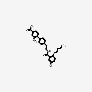 CCCCOc1ccc(Cl)cc1C(=O)NCCc1ccc(-c2ccc(C(=O)O)cc2N)cc1